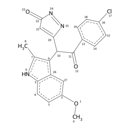 COc1ccc2[nH]c(C)c(C(C(=O)c3ccc(Cl)cc3)C3=CC(=O)N=N3)c2c1